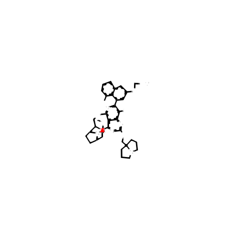 CCc1cccc2cc(OCOC)cc(-c3nc4c5c(nc(OCC67CCCN6CCC7)nc5c3F)N3CC5CCC(C3CO4)N5C(=O)OC(C)(C)C)c12